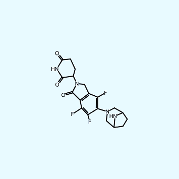 O=C1CCC(N2Cc3c(F)c(N4CC5CCC(C4)N5)c(F)c(F)c3C2=O)C(=O)N1